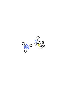 c1ccc(-c2nc(-c3ccccc3)nc(-c3ccc(-c4ccc5c(c4)nc(-c4ccccc4)c4ccc6c(c45)Sc4ccccc4C64c5ccccc5-c5ccccc54)cc3)n2)cc1